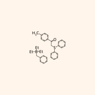 CC[B-](CC)(CC)Cc1ccccc1.Cc1ccc(C(=O)C[S+](c2ccccc2)c2ccccc2)cc1